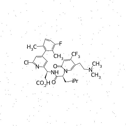 Cc1ccc(F)c(C)c1-c1cc(Cl)nc([C@H](CC(=O)O)NC(=O)[C@H](CC(C)C)n2cc(CCN(C)C)c(C(F)(F)F)cc2=O)c1